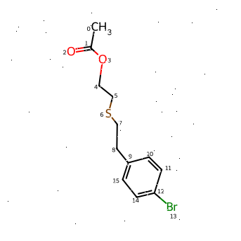 CC(=O)OCCSCCc1ccc(Br)cc1